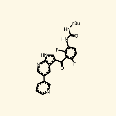 CCCCNC(=O)Nc1ccc(F)c(C(=O)c2c[nH]c3ncc(-c4cccnc4)cc23)c1F